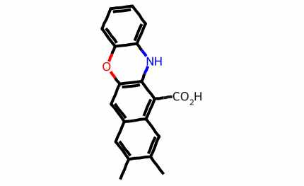 Cc1cc2cc3c(c(C(=O)O)c2cc1C)Nc1ccccc1O3